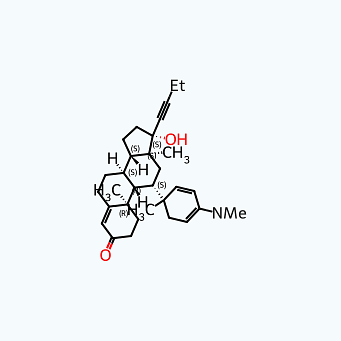 CCC#C[C@]1(O)CC[C@H]2[C@@H]3CCC4=CC(=O)CC[C@]4(C)[C@H]3[C@@H](C3(C)C=CC(NC)=CC3)C[C@@]21C